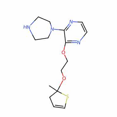 CC1(OCCOc2nccnc2N2CCNCC2)CC=CS1